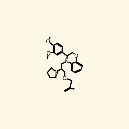 C=C(C)COCC(CN1c2ccccc2OCC1c1ccc(OC)c(OC)c1)N1CCCC1